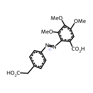 COc1cc(C(=O)O)c(/N=N/c2ccc(CC(=O)O)cc2)c(OC)c1OC